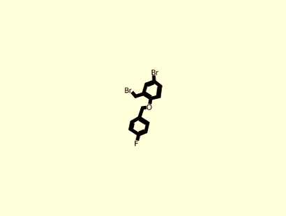 Fc1ccc(COc2ccc(Br)cc2CBr)cc1